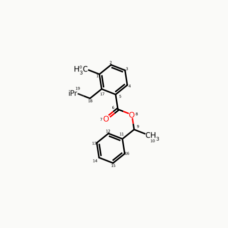 Cc1cccc(C(=O)OC(C)c2ccccc2)c1CC(C)C